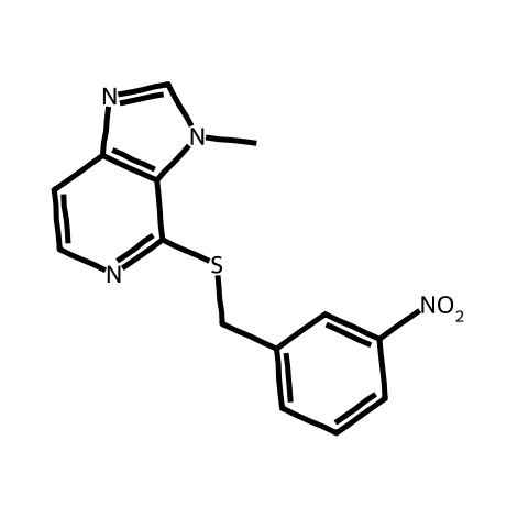 Cn1cnc2ccnc(SCc3cccc([N+](=O)[O-])c3)c21